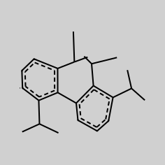 CC(C)c1[c]ccc(C(C)C)c1-c1cccc(C(C)C)c1C(C)C